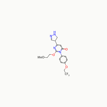 COCCOc1nc(C2C=NNC2)cc(=O)n1-c1ccc(OCC(F)(F)F)cc1